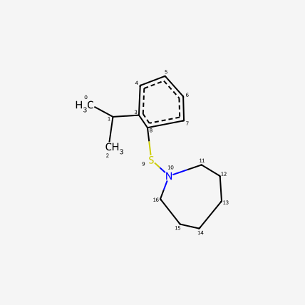 CC(C)c1ccccc1SN1CCCCCC1